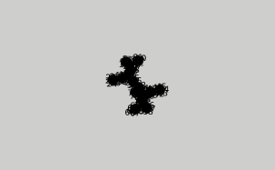 Cc1ccc(-n2c3ccccc3c3cc(N(c4ccc(-c5ccccc5)cc4)c4ccc(-c5ccc(N(c6ccc(-c7ccccc7)cc6)c6ccc7c(c6)c6ccccc6n7-c6ccc(C)cc6)c6ccccc56)cc4)ccc32)cc1